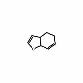 C1=CC2OC=CC2CC1